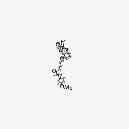 COc1ccc(CN(C)C(=O)CCCCCOc2cccc3c2CN2CC(=O)NC2=N3)cc1